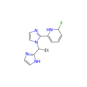 CCC(c1ncc[nH]1)n1ccnc1C1=CC=CC(F)N1